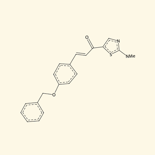 CNc1ncc(C(=O)/C=C/c2ccc(OCc3ccccc3)cc2)s1